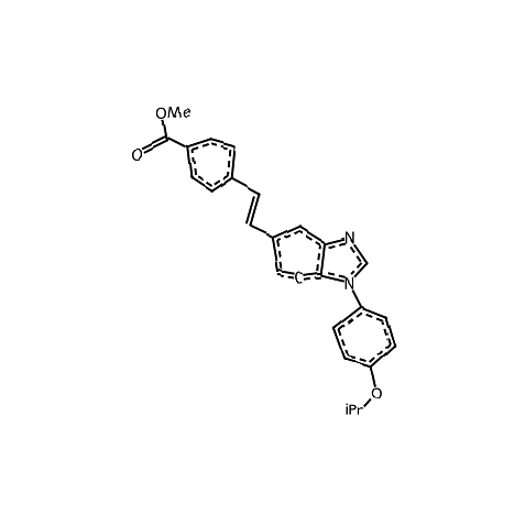 COC(=O)c1ccc(C=Cc2ccc3c(c2)ncn3-c2ccc(OC(C)C)cc2)cc1